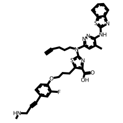 C#CCCCN(c1cc(C)c(Nc2nc3ccccc3s2)nn1)c1nc(C(=O)O)c(CCCOc2ccc(C#CCNC)cc2F)s1